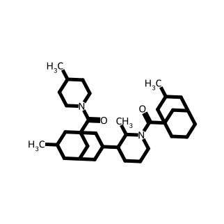 CC1CCN(C(=O)C23CC(C)CC(CC(C4CCCN(C(=O)C56CCCC(CC(C)C5)C6)C4C)C2)C3)CC1